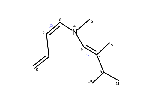 C=C/C=C\N(C)/C=C(\C)C(C)C